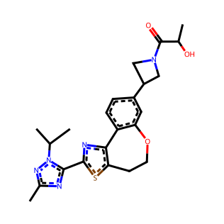 Cc1nc(-c2nc3c(s2)CCOc2cc(C4CN(C(=O)C(C)O)C4)ccc2-3)n(C(C)C)n1